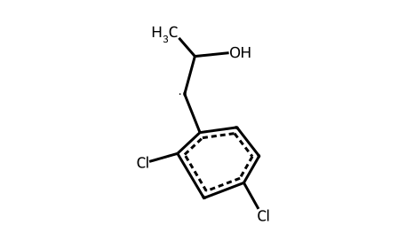 CC(O)[CH]c1ccc(Cl)cc1Cl